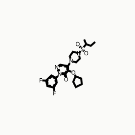 CCC(C)S(=O)(=O)N1CCN(c2cnn(-c3cc(F)cc(F)c3)c(=O)c2OC2CCCC2)CC1